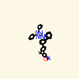 CC1(C)c2cc(-c3ccc4c(c3)c3ccccc3n4-c3nc(-c4ccccc4)nc(-c4ccccc4)n3)ccc2-c2cc3ncoc3cc21